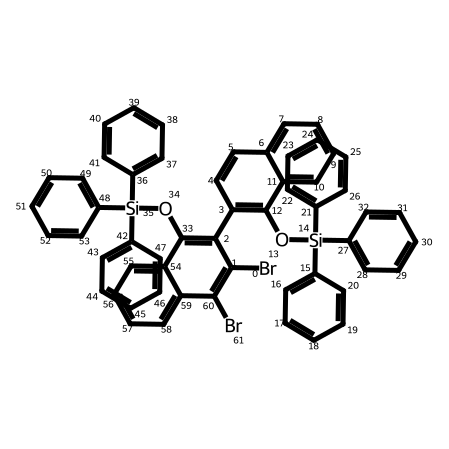 Brc1c(-c2ccc3ccccc3c2O[Si](c2ccccc2)(c2ccccc2)c2ccccc2)c(O[Si](c2ccccc2)(c2ccccc2)c2ccccc2)c2ccccc2c1Br